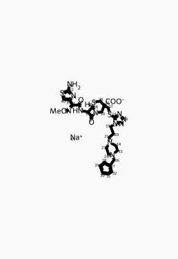 CON=C(C(=O)NC1C(=O)N2CC(CSc3nnnn3CCCN3CCN(Cc4ccccc4)CC3)(C(=O)[O-])CS[C@H]12)c1csc(N)n1.[Na+]